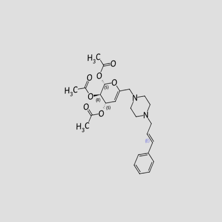 CC(=O)O[C@@H]1OC(CN2CCN(C/C=C/c3ccccc3)CC2)=C[C@H](OC(C)=O)[C@H]1OC(C)=O